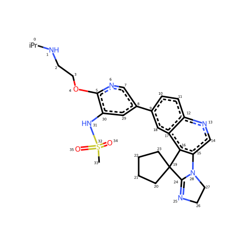 CC(C)NCCOc1ncc(-c2ccc3ncc4c(c3c2)C2(CCCC2)C2=NCCN24)cc1NS(C)(=O)=O